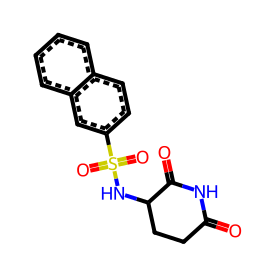 O=C1CCC(NS(=O)(=O)c2ccc3ccccc3c2)C(=O)N1